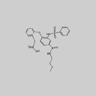 COCCNC(=O)c1ccc(Oc2ccccc2CC(=O)O)c(NS(=O)(=O)c2ccccc2)c1